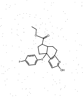 CCOC(=O)C1CCC2(Sc3ccc(F)cc3)c3ccc(O)nc3CCC12